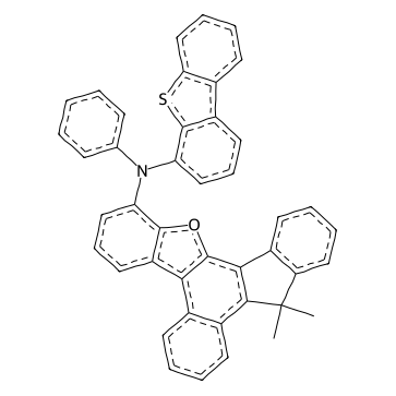 CC1(C)c2ccccc2-c2c1c1ccccc1c1c2oc2c(N(c3ccccc3)c3cccc4c3sc3ccccc34)cccc21